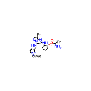 CCc1cnn2c(NCc3ccc[n+](OC)c3)cc(N[C@H]3CCCC[C@H]3COC(=O)C(N)C(C)C)nc12